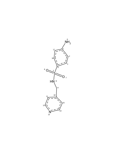 Nc1ccc(S(=O)(=O)NCc2ccncc2)cc1